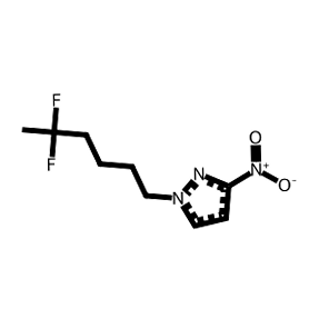 CC(F)(F)CCCCn1ccc([N+](=O)[O-])n1